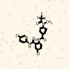 CN(C(=O)C(F)(F)F)c1ccc(C(=O)Nc2ccc(Cl)cc2C(=O)Nc2ccc(Cl)cn2)cc1